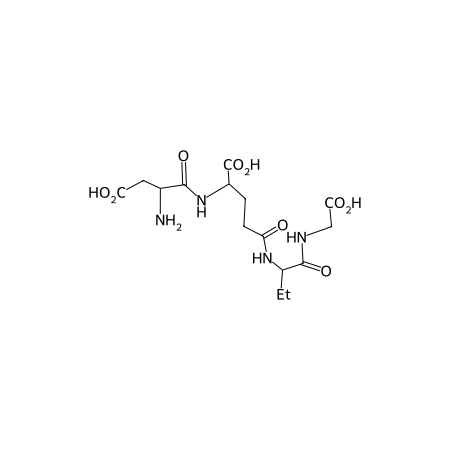 CCC(NC(=O)CCC(NC(=O)C(N)CC(=O)O)C(=O)O)C(=O)NCC(=O)O